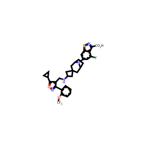 O=C(O)c1nsc2cc(N3C4CCC3CC3(CC(NCc5c(-c6ccccc6OC(F)(F)F)noc5C5CC5)C3)C4)cc(F)c12